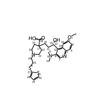 COc1ccc2ncc(N(C)C)c([C@@H](O)CCC3(C(=O)O)CCN(CCSc4cccs4)CC3)c2c1